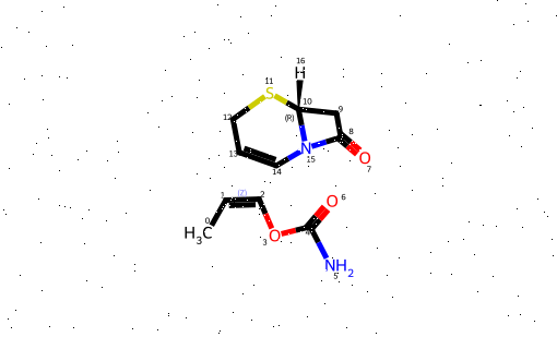 C/C=C\OC(N)=O.O=C1C[C@H]2SCC=CN12